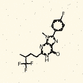 CC(CCc1nc2c(nc(-c3ccc(F)cc3)n2C)c(=O)[nH]1)C(F)(F)F